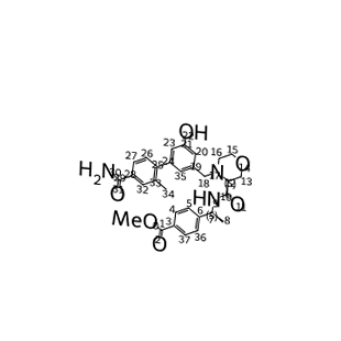 COC(=O)c1ccc([C@H](C)NC(=O)[C@@H]2COCCN2Cc2cc(O)cc(-c3ccc(C(N)=O)cc3C)c2)cc1